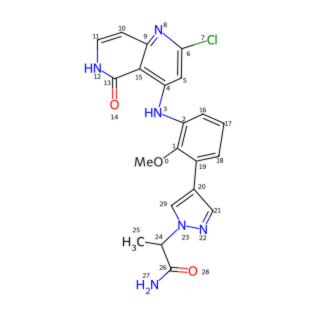 COc1c(Nc2cc(Cl)nc3cc[nH]c(=O)c23)cccc1-c1cnn(C(C)C(N)=O)c1